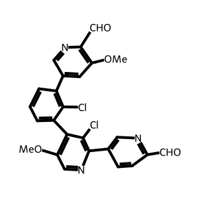 COc1cc(-c2cccc(-c3c(OC)cnc(-c4ccc(C=O)nc4)c3Cl)c2Cl)cnc1C=O